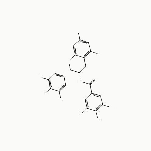 O=C(N[C@H]1Cc2c(O)cc(O)cc2O[C@H]1c1cc(O)c(O)c(O)c1)c1cc(O)c(O)c(O)c1